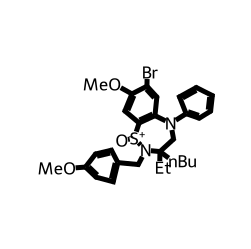 CCCCC1(CC)CN(c2ccccc2)c2cc(Br)c(OC)cc2[S+]([O-])N1Cc1ccc(OC)cc1